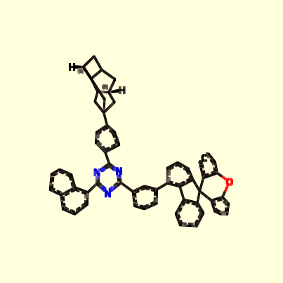 c1cc(-c2nc(-c3ccc(C45CC6C7C(C[C@@H]6C4)C[C@H]7C5)cc3)nc(-c3cccc4ccccc34)n2)cc(-c2cccc3c2-c2ccccc2C32c3ccccc3Oc3ccccc32)c1